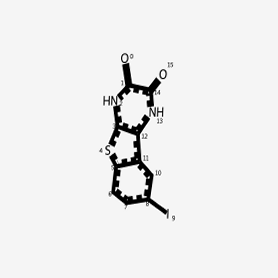 O=c1[nH]c2sc3ccc(I)cc3c2[nH]c1=O